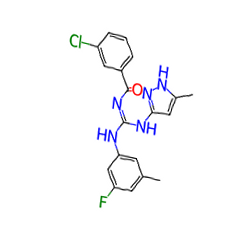 Cc1cc(F)cc(N/C(=N/C(=O)c2cccc(Cl)c2)Nc2cc(C)[nH]n2)c1